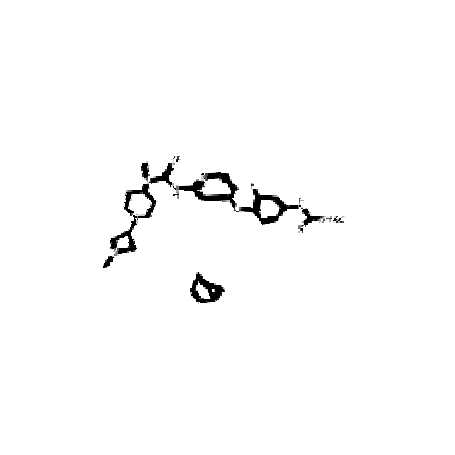 CC(=O)NC(=S)Nc1ccc(Oc2ccnc(NC(=O)N(C)C3CCN(C4CN(C)C4)CC3)c2)c(F)c1.c1cc2cc-2c1